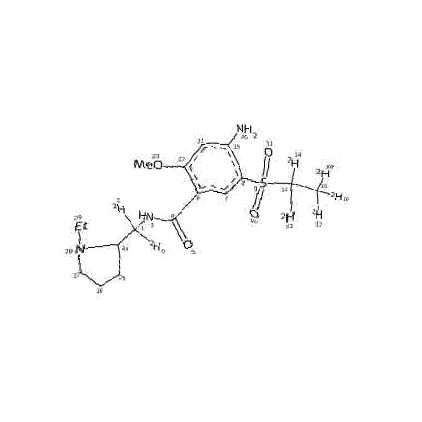 [2H]C([2H])(NC(=O)c1cc(S(=O)(=O)C([2H])([2H])C([2H])([2H])[2H])c(N)cc1OC)C1CCCN1CC